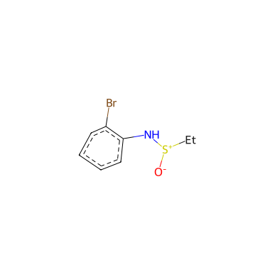 CC[S+]([O-])Nc1ccccc1Br